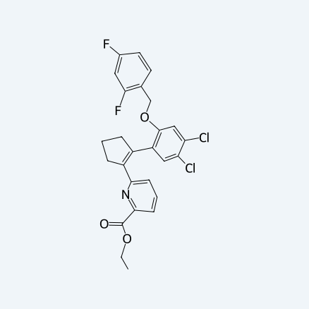 CCOC(=O)c1cccc(C2=C(c3cc(Cl)c(Cl)cc3OCc3ccc(F)cc3F)CCC2)n1